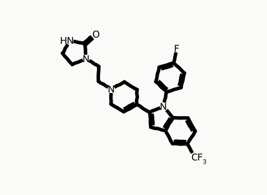 O=C1NCCN1CCN1CC=C(c2cc3cc(C(F)(F)F)ccc3n2-c2ccc(F)cc2)CC1